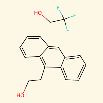 OCC(F)(F)F.OCCc1c2ccccc2cc2ccccc12